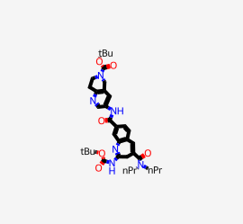 CCCN(CCC)C(=O)C1=Cc2ccc(C(=O)Nc3cnc4c(c3)CN(C(=O)OC(C)(C)C)CC4)cc2N=C(NC(=O)OC(C)(C)C)C1